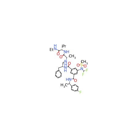 CCNC(=O)[C@@H](NC(=O)[C@H](C)NC[C@H](Cc1ccccc1)NC(=O)c1cc(C(=O)N[C@H](C)c2ccc(F)cc2)cc(N(C(F)F)S(C)(=O)=O)c1)C(C)C